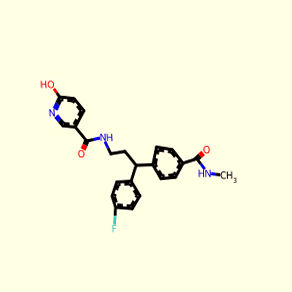 CNC(=O)c1ccc(C(CCNC(=O)c2ccc(O)nc2)c2ccc(F)cc2)cc1